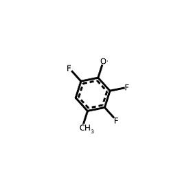 Cc1cc(F)c([O])c(F)c1F